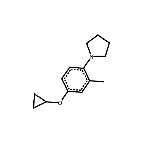 Cc1cc(OC2CC2)ccc1N1CCCC1